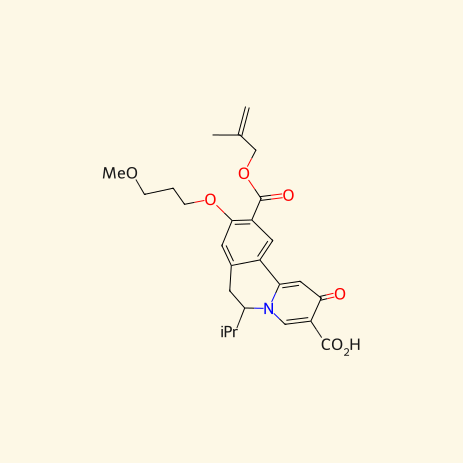 C=C(C)COC(=O)c1cc2c(cc1OCCCOC)CC(C(C)C)n1cc(C(=O)O)c(=O)cc1-2